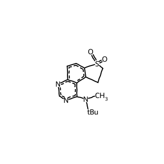 CN(c1ncnc2ccc3c(c12)CCS3(=O)=O)C(C)(C)C